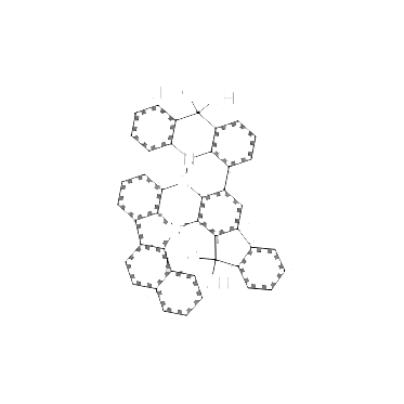 CC1(C)c2ccccc2N2B3c4c(cc5c(c4-n4c6c3cccc6c3ccc6ccccc6c34)C(C)(C)c3ccccc3-5)-c3cccc1c32